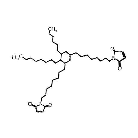 CCCCCCCCC1C(CCCCCC)CC(CCCCCCCCN2C(=O)C=CC2=O)CC1CCCCCCCCN1C(=O)C=CC1=O